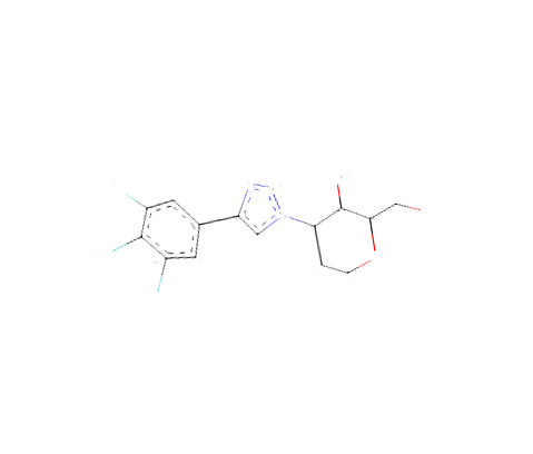 OCC1OCCC(n2cc(-c3cc(F)c(F)c(F)c3)nn2)C1O